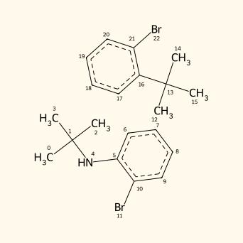 CC(C)(C)Nc1ccccc1Br.CC(C)(C)c1ccccc1Br